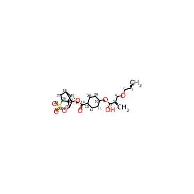 C=CCOCC(=C)C(O)OC1CCC(C(=O)OC2C3CC4C2OS(=O)(=O)C4C3)CC1